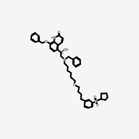 O=c1ccc2c([C@@H](O)CN(CCCCCCOCCCCc3cccc(S(=O)(=O)C4CCCC4)c3)Cc3ccccc3)ccc(OCc3ccccc3)c2[nH]1